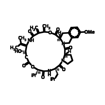 C=C1OC(=O)[C@@H]2Cc3ccc(OC)cc3CN2C(=O)[C@@H]2CCCN2C(=O)[C@H](CC(C)C)NC(=O)[C@H](C(C)C)OC(=O)C[C@H](O)C(=C(C)C)NC(=O)C1=C